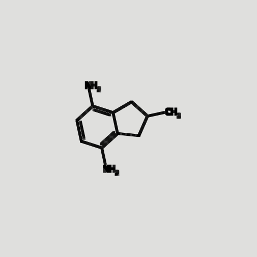 CC1Cc2c(N)ccc(N)c2C1